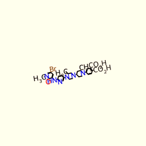 CC1CN([C@H]2CCN(c3ccc(C(=O)O)c(C(=O)O)c3)[C@@H](C)C2)CCN1c1ccc(Nc2cc(Br)cn(C)c2=O)nc1